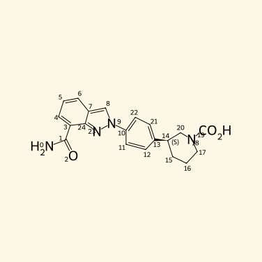 NC(=O)c1cccc2cn(-c3ccc([C@@H]4CCCN(C(=O)O)C4)cc3)nc12